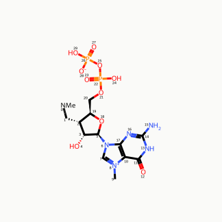 CNC[C@H]1[C@@H](O)[C@H](n2c[n+](C)c3c(=O)[nH]c(N)nc32)O[C@@H]1COP(=O)(O)OP(=O)([O-])O